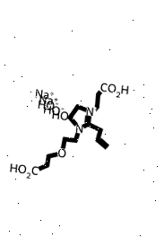 C=CCC1=[N+](CCC(=O)O)CCN1CCOCCC(=O)O.[Na+].[Na+].[OH-].[OH-].[OH-]